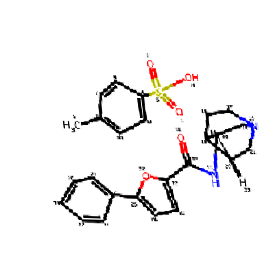 Cc1ccc(S(=O)(=O)O)cc1.O=C(N[C@H]1CN2CCC1CC2)c1ccc(-c2ccccc2)o1